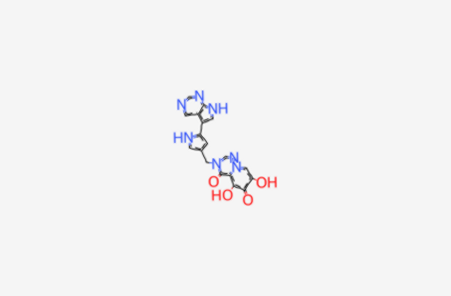 O=c1c(O)cn2ncn(Cc3c[nH]c(-c4c[nH]c5ncncc45)c3)c(=O)c2c1O